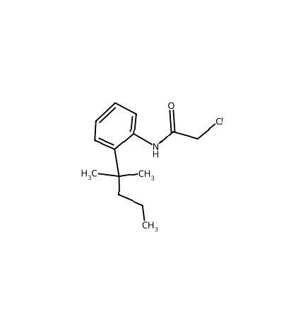 CCCC(C)(C)c1ccccc1NC(=O)CCl